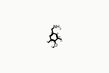 COc1c(C)cc(CN)cc1C